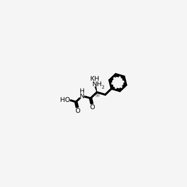 N[C@@H](Cc1ccccc1)C(=O)NC(=O)O.[KH]